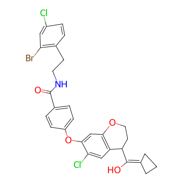 O=C(NCCc1ccc(Cl)cc1Br)c1ccc(Oc2cc3c(cc2Cl)C(C(O)=C2CCC2)CCO3)cc1